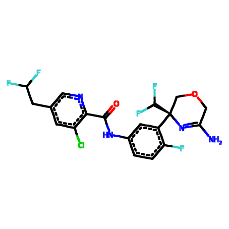 NC1=N[C@@](c2cc(NC(=O)c3ncc(CC(F)F)cc3Cl)ccc2F)(C(F)F)COC1